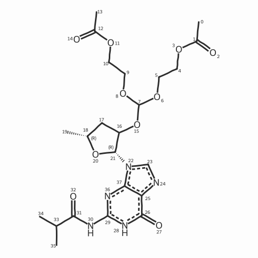 CC(=O)OCCOC(OCCOC(C)=O)OC1C[C@@H](C)O[C@H]1n1cnc2c(=O)[nH]c(NC(=O)C(C)C)nc21